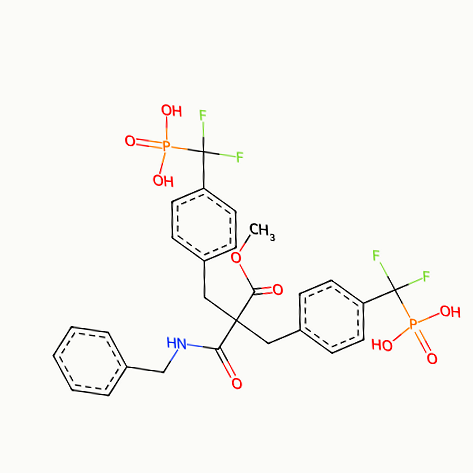 COC(=O)C(Cc1ccc(C(F)(F)P(=O)(O)O)cc1)(Cc1ccc(C(F)(F)P(=O)(O)O)cc1)C(=O)NCc1ccccc1